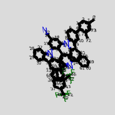 Cc1ccc(-c2ccc3c(c2)c2ccccc2n3-c2cc(C#N)cc(-n3c4ccccc4c4cc(-c5ccc(C(F)(F)F)cc5C(F)(F)F)ccc43)c2-c2cc(-c3ccccc3)nc(-c3ccccc3)c2)c(C)c1